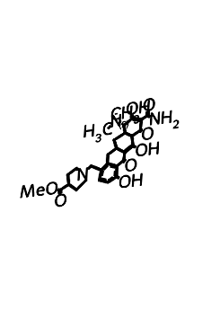 COC(=O)C1CCN(Cc2ccc(O)c3c2CC2CC4C(C(=O)C(C(N)=O)=C(O)[C@H]4N(C)C)C(O)=C2C3=O)CC1